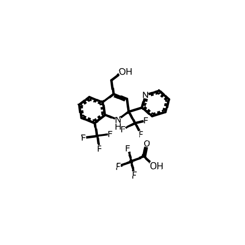 O=C(O)C(F)(F)F.OCC1=CC(c2ccccn2)(C(F)(F)F)Nc2c1cccc2C(F)(F)F